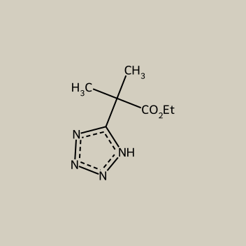 CCOC(=O)C(C)(C)c1nnn[nH]1